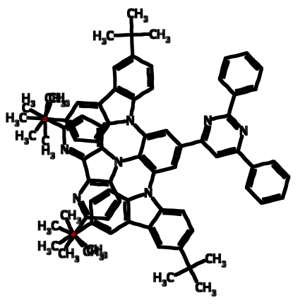 CC(C)(C)c1ccc2c(c1)c1cc(C(C)(C)C)ccc1n2-c1cc(-c2cc(-c3ccccc3)nc(-c3ccccc3)n2)cc(-n2c3ccc(C(C)(C)C)cc3c3cc(C(C)(C)C)ccc32)c1-n1c2ccc(C(C)(C)C)nc2c2nc(C(C)(C)C)ccc21